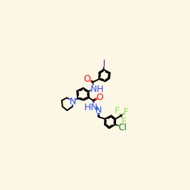 O=C(Nc1ccc(N2CCCCC2)cc1C(=O)NN=Cc1ccc(Cl)c(C(F)(F)F)c1)c1cccc(I)c1